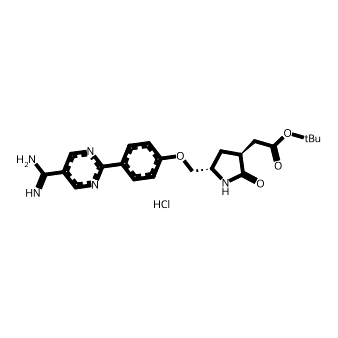 CC(C)(C)OC(=O)C[C@@H]1C[C@@H](COc2ccc(-c3ncc(C(=N)N)cn3)cc2)NC1=O.Cl